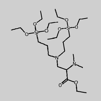 CCOC(=O)C(CN(CCC[Si](OCC)(OCC)OCC)CCC[Si](OCC)(OCC)OCC)N(C)C